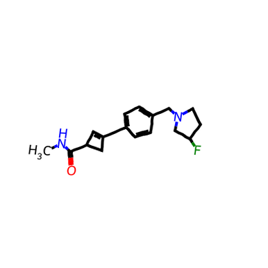 CNC(=O)C1C=C(c2ccc(CN3CCC(F)C3)cc2)C1